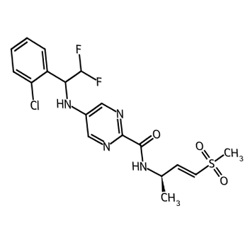 C[C@H](/C=C/S(C)(=O)=O)NC(=O)c1ncc(NC(c2ccccc2Cl)C(F)F)cn1